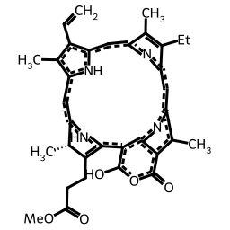 C=Cc1c(C)c2cc3[nH]c(c4c(O)oc(=O)c5c(C)c(cc6nc(cc1[nH]2)C(C)=C6CC)nc45)=C(CCC(=O)OC)[C@@H]3C